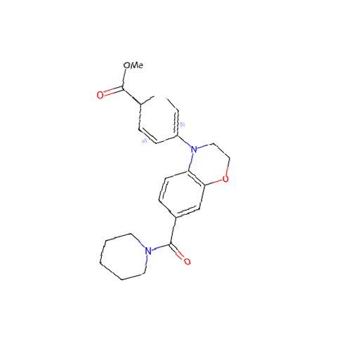 C/C=C(\C=C/C(C)C(=O)OC)N1CCOc2cc(C(=O)N3CCCCC3)ccc21